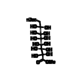 CCCCCCCCCCCC(O)(O)C(O)(O)C(O)(O)C(O)(O)C(O)(O)C(O)(O)C(=O)OC